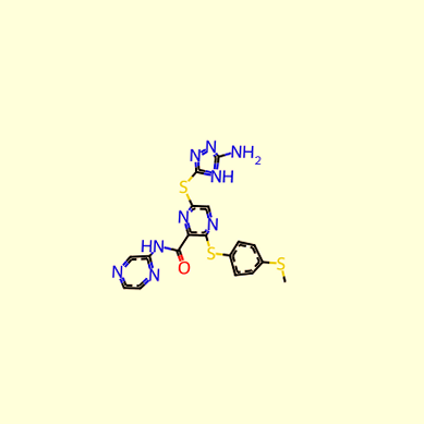 CSc1ccc(Sc2ncc(Sc3nnc(N)[nH]3)nc2C(=O)Nc2cnccn2)cc1